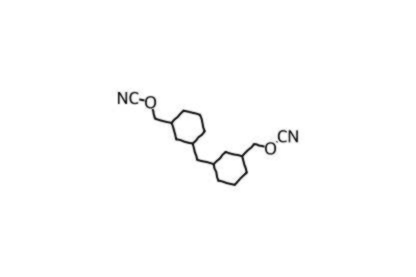 N#COCC1CCCC(CC2CCCC(COC#N)C2)C1